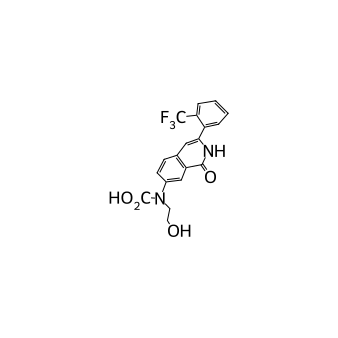 O=C(O)N(CCO)c1ccc2cc(-c3ccccc3C(F)(F)F)[nH]c(=O)c2c1